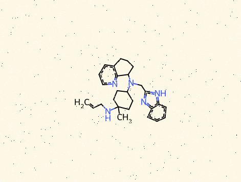 C=CCNC1(C)CCC(N(Cc2nc3ccccc3[nH]2)C2CCCc3cccnc32)CC1